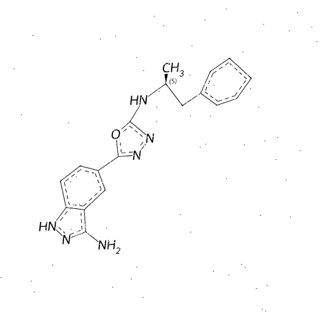 C[C@@H](Cc1ccccc1)Nc1nnc(-c2ccc3[nH]nc(N)c3c2)o1